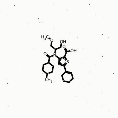 COCC(CO)N(C(=O)C1CCC(C)CC1)c1cc(C2=CCCCC2)sc1C(=O)O